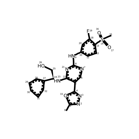 Cc1nnc(-c2cnc(Nc3ccc(S(C)(=O)=O)c(F)c3)nc2N[C@H](CO)c2ccccc2)o1